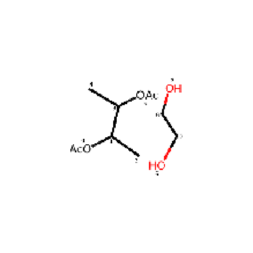 CC(=O)OC(C)C(C)OC(C)=O.OCCO